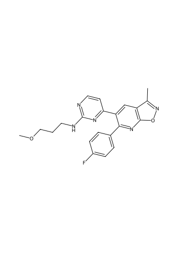 COCCCNc1nccc(-c2cc3c(C)noc3nc2-c2ccc(F)cc2)n1